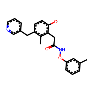 Cc1cccc(ONC(=O)Cc2c([O])ccc(Cc3cccnc3)c2C)c1